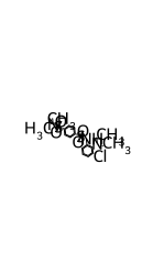 CCN(CC)c1c(Cl)cccc1NS(=O)(=O)c1ccc(S(=O)(=O)N(C)C)cc1